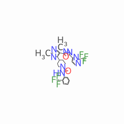 Cc1nc(C)c(-c2nnc(-c3ccnc(C(F)(F)F)n3)o2)c(C2CCN(C(=O)Nc3ccccc3C(F)(F)F)CC2)n1